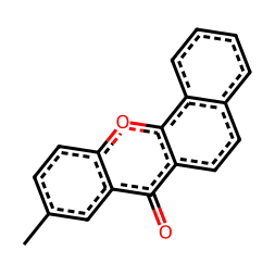 Cc1ccc2oc3c(ccc4ccccc43)c(=O)c2c1